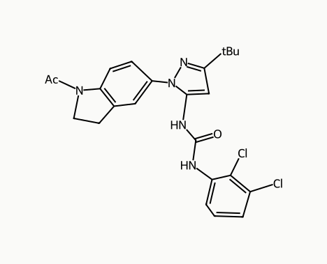 CC(=O)N1CCc2cc(-n3nc(C(C)(C)C)cc3NC(=O)Nc3cccc(Cl)c3Cl)ccc21